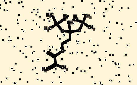 C=C(C)C(=O)OCC[Si](O)(O[Si](C)(C)C)O[Si](C)(C)C